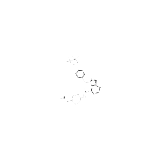 CC1(C)OB(c2ccc(Cn3ncc4c(Cl)ccc(C(=O)NC5CCC(CC(=O)O)CC5)c43)cc2)OC1(C)C